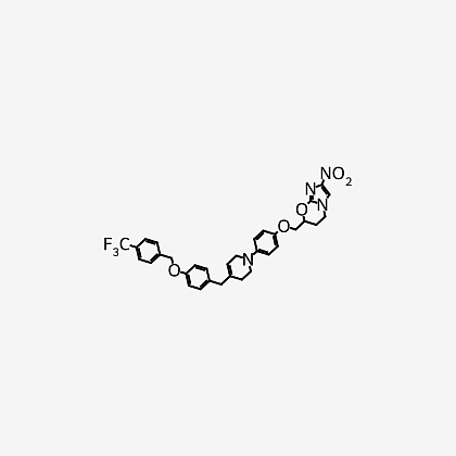 O=[N+]([O-])c1cn2c(n1)OC(COc1ccc(N3CC=C(Cc4ccc(OCc5ccc(C(F)(F)F)cc5)cc4)CC3)cc1)CC2